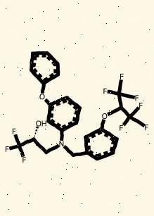 O[C@H](CN(Cc1cccc(OC(C(F)(F)F)C(F)(F)F)c1)c1cccc(Oc2ccccc2)c1)C(F)(F)F